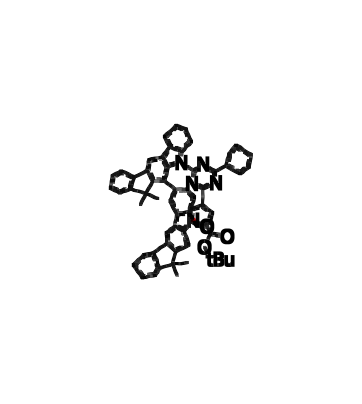 CC(C)(C)OC(=O)On1c2ccc(-c3c4c(cc5c6ccccc6n(-c6nc(-c7ccccc7)nc(-c7ccccc7)n6)c35)-c3ccccc3C4(C)C)cc2c2cc3c(cc21)C(C)(C)c1ccccc1-3